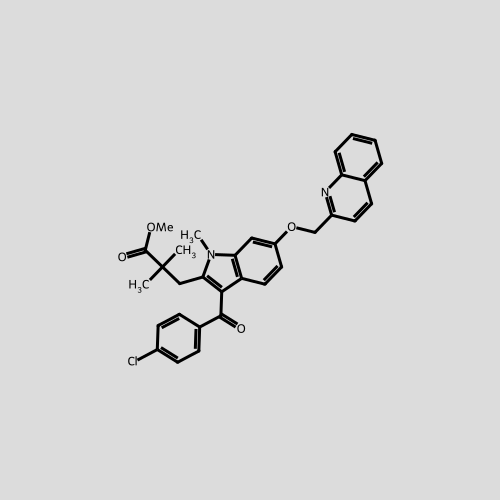 COC(=O)C(C)(C)Cc1c(C(=O)c2ccc(Cl)cc2)c2ccc(OCc3ccc4ccccc4n3)cc2n1C